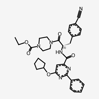 CCOC(=O)N1CCN(C(=O)[C@H](Cc2ccc(C#N)cc2)NC(=O)c2cc(OC3CCCC3)nc(-c3ccccc3)n2)CC1